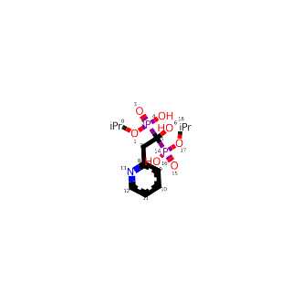 CC(C)OP(=O)(O)C(O)(Cc1ccccn1)P(=O)(O)OC(C)C